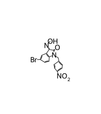 O=C1/C(=N\O)c2cc(Br)ccc2N1Cc1ccc([N+](=O)[O-])cc1